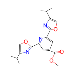 COC(=O)c1cc(-c2nc(C(C)C)co2)nc(-c2nc(C(C)C)co2)c1